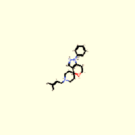 CC(C)=CCN1CCC2(CC1)OCCc1c2cnn1-c1ccccc1